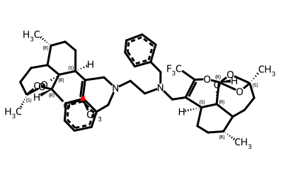 C[C@@H]1CC[C@H]2C(CN(CCN(CC3=C(C(F)(F)F)O[C@@H]4O[C@]5(C)CCC6[C@H](C)CC[C@@H]3[C@]64OO5)Cc3ccccc3)Cc3ccccc3)=C(C(F)(F)F)O[C@@H]3O[C@]4(C)CCC1[C@]32OO4